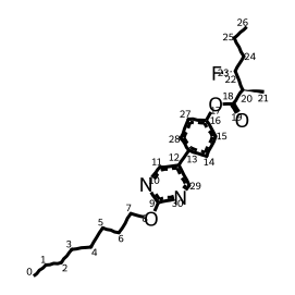 CCCCCCCCOc1ncc(-c2ccc(OC(=O)[C@H](C)[C@H](F)CCC)cc2)cn1